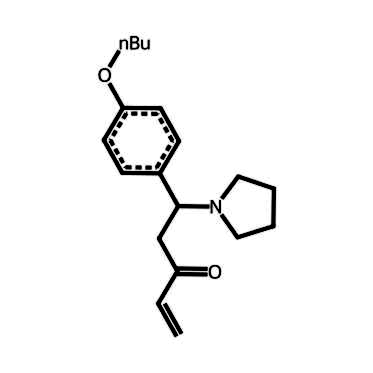 C=CC(=O)CC(c1ccc(OCCCC)cc1)N1CCCC1